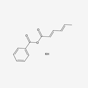 C/C=C/C=C/C(=O)OC(=O)c1ccccc1.[KH]